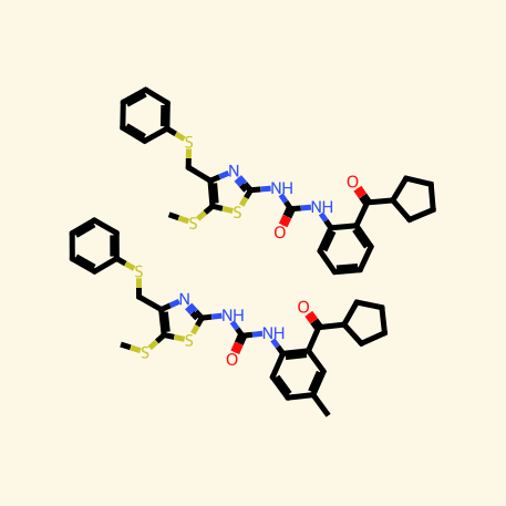 CSc1sc(NC(=O)Nc2ccc(C)cc2C(=O)C2CCCC2)nc1CSc1ccccc1.CSc1sc(NC(=O)Nc2ccccc2C(=O)C2CCCC2)nc1CSc1ccccc1